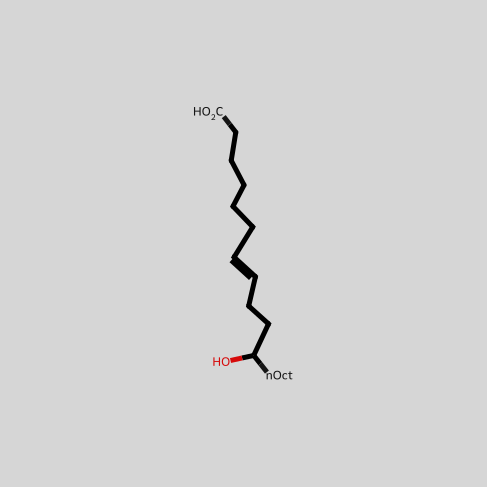 CCCCCCCCC(O)CCC=CCCCCCC(=O)O